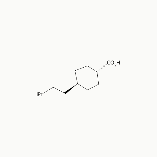 CC(C)CC[C@H]1CC[C@H](C(=O)O)CC1